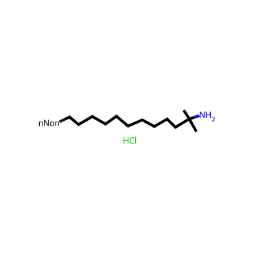 CCCCCCCCCCCCCCCCCCCC(C)(C)N.Cl